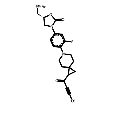 CC(=O)NC[C@H]1CN(c2ccc(N3CCC4(CC3)CC4C(=O)C#CO)c(F)c2)C(=O)O1